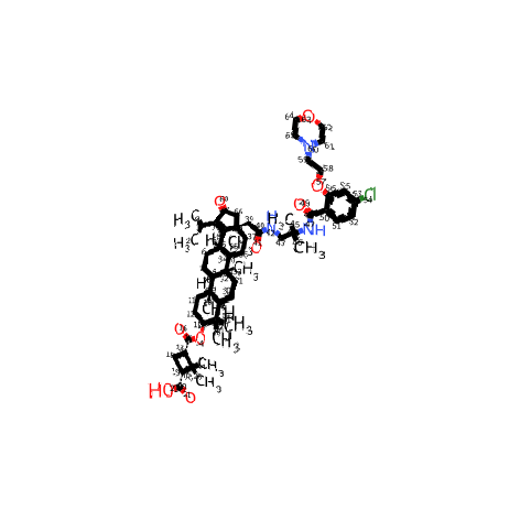 CC(C)C1=C2[C@H]3CC[C@@H]4[C@@]5(C)CC[C@H](OC(=O)[C@H]6C[C@@H](C(=O)O)C6(C)C)C(C)(C)[C@@H]5CC[C@@]4(C)[C@]3(C)CC[C@@]2(CC(=O)NCC(C)(C)NC(=O)c2ccc(Cl)cc2OCCN2CCOCC2)CC1=O